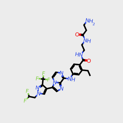 CCc1cc(Nc2nccn3c(-c4cn(CC(F)F)nc4C(F)(F)F)cnc23)ccc1C(=O)NCCNC(=O)CCN